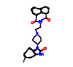 Cc1ccc2c(c1)[nH]c(=O)n2C1CCN(CCN2C(=O)c3cccc4cccc(c34)C2=O)CC1